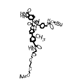 COCCOCCOCCOCCNC(=O)c1ccc(-c2ccc(C[C@H](NC(=O)C3CCC(CNC(=O)OC(C)(C)C)CC3)C(=O)Nc3ccc4c(=O)[nH][nH]c4c3)cc2)c(C)c1